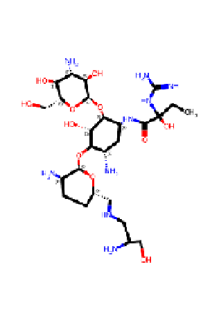 CCC(O)(NC(=N)N)C(=O)N[C@@H]1C[C@H](N)C(O[C@H]2O[C@H](CNCC(N)CO)CC[C@H]2N)[C@H](O)[C@H]1O[C@H]1O[C@H](CO)[C@@H](O)[C@H](N)[C@H]1O